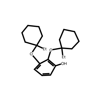 CCC1(Oc2cccc(O)c2OC2(CC)CCCCC2)CCCCC1